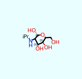 CC(C)NC1[C@H](O)OC(CO)[C@@H](O)[C@H]1O